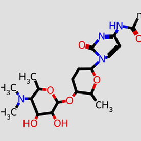 CCCC(=O)Nc1ccn(C2CCC(OC3OC(C)C(N(C)C)C(O)C3O)C(C)O2)c(=O)n1